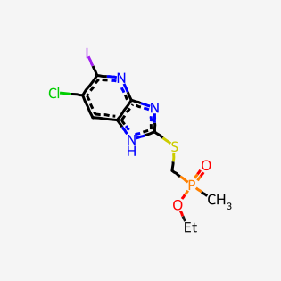 CCOP(C)(=O)CSc1nc2nc(I)c(Cl)cc2[nH]1